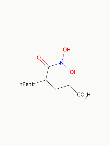 CCCCCC(CCC(=O)O)C(=O)N(O)O